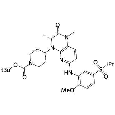 COc1ccc(S(=O)(=O)C(C)C)cc1Nc1ccc2c(n1)N(C1CCN(C(=O)OC(C)(C)C)CC1)[C@H](C)C(=O)N2C